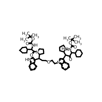 CC(C)(C)OC(=O)NC(C(=O)C(c1cn(CCOCCC(c2c[nH]c3ccccc23)C2CCCN2C(=O)C(NC(=O)OC(C)(C)C)C2CCCCC2)c2ccccc12)C1CCCN1)C1CCCCC1